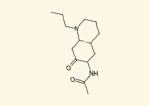 CCCN1CCCC2CC(NC(C)=O)C(=O)CC21